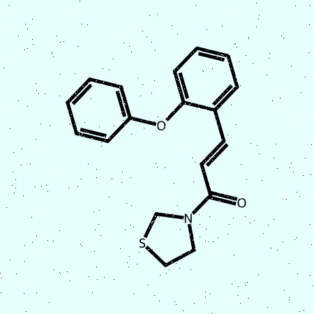 O=C(C=Cc1ccccc1Oc1ccccc1)N1CCSC1